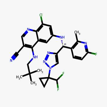 Cc1nc(F)ccc1[C@@H](Nc1cc(Cl)c2ncc(C#N)c(NCC(C)(C)C)c2c1)c1cn(C2(C(F)F)CC2)nn1